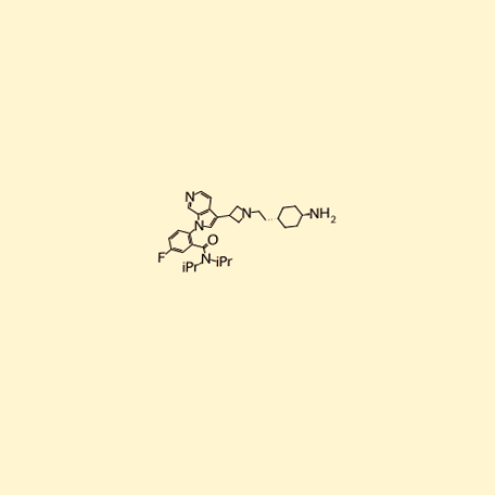 CC(C)N(C(=O)c1cc(F)ccc1-n1cc(C2CN(CC[C@H]3CC[C@H](N)CC3)C2)c2ccncc21)C(C)C